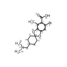 Cc1c2c(cc(Br)c1C(=O)O)OC1(CCC(CN(C)C)CC1)O2